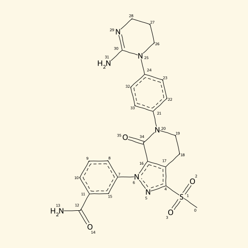 CS(=O)(=O)c1nn(-c2cccc(C(N)=O)c2)c2c1CCN(c1ccc(N3CCCN=C3N)cc1)C2=O